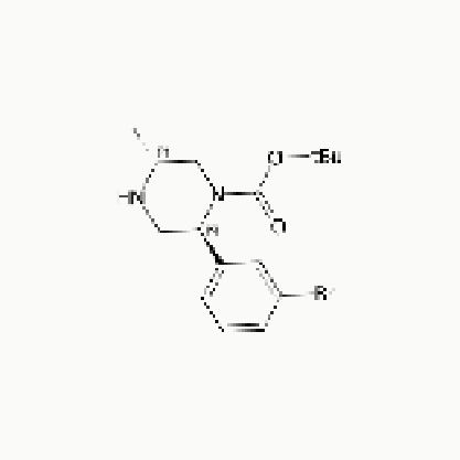 C[C@@H]1CN(C(=O)OC(C)(C)C)[C@@H](c2cccc(Br)c2)CN1